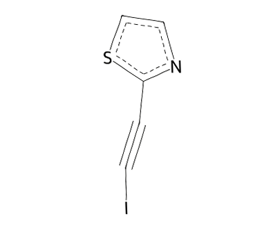 IC#Cc1nccs1